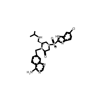 CC(C)NC[C@H]1CN(S(=O)(=O)c2nc3ccc(Cl)cc3[nH]2)CC(=O)N1Cc1ccc2c(N)ncnc2c1